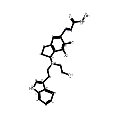 O=C(/C=C/c1cc2c(c(Cl)c1Cl)C(N(CCO)CCc1c[nH]c3ccccc13)CC2)NO